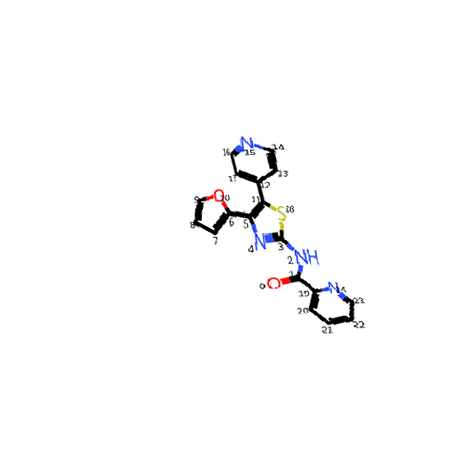 O=C(Nc1nc(-c2ccco2)c(-c2ccncc2)s1)c1ccccn1